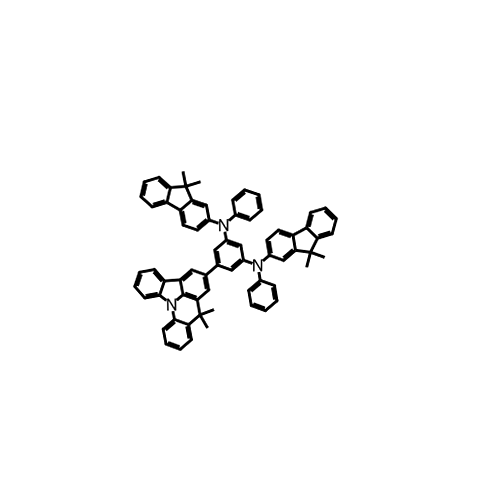 CC1(C)c2ccccc2-c2ccc(N(c3ccccc3)c3cc(-c4cc5c6c(c4)c4ccccc4n6-c4ccccc4C5(C)C)cc(N(c4ccccc4)c4ccc5c(c4)C(C)(C)c4ccccc4-5)c3)cc21